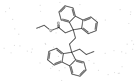 CCCC1(CCC2(CC(=O)OCC)c3ccccc3-c3ccccc32)c2ccccc2-c2ccccc21